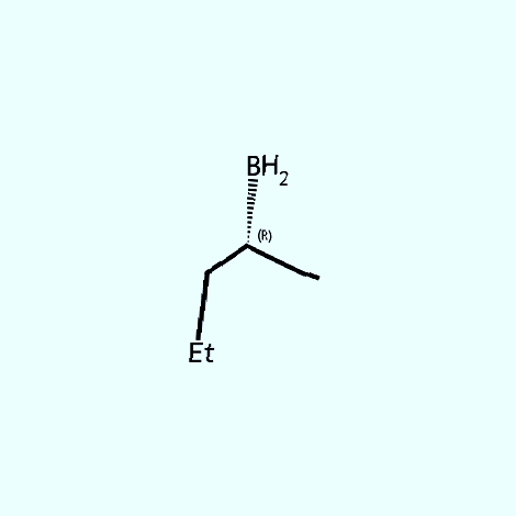 B[C@H](C)CCC